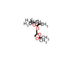 CC(C)=C(OCC1COC(C)(C)O1)O[Si](C)(C)C